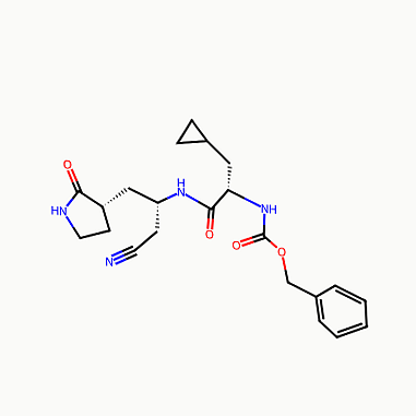 N#CC[C@H](C[C@@H]1CCNC1=O)NC(=O)[C@H](CC1CC1)NC(=O)OCc1ccccc1